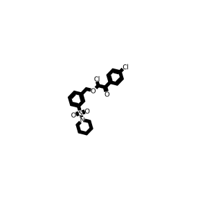 O=C(c1ccc(Cl)cc1)C(Cl)OCc1cccc(S(=O)(=O)N2CCCCC2)c1